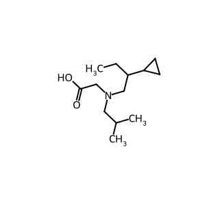 CCC(CN(CC(=O)O)CC(C)C)C1CC1